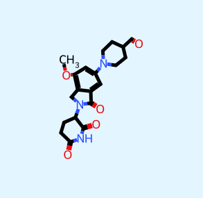 COc1cc(N2CCC(C=O)CC2)cc2c1CN(C1CCC(=O)NC1=O)C2=O